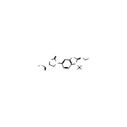 CC/N=c1/sc2cc(N3C[C@H](C(=O)NC)OC3=O)ccc2n1C(C)(C)C